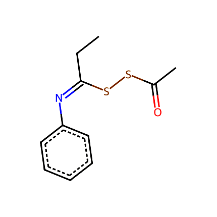 CCC(=Nc1ccccc1)SSC(C)=O